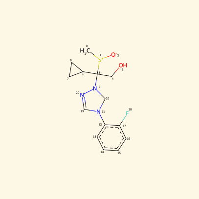 C[S+]([O-])C(CO)(C1CC1)N1CN(c2ccccc2F)C=N1